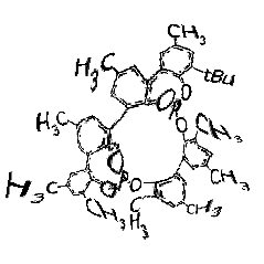 Cc1cc(C)c2c(c1)-c1cc(C)cc(C)c1Op1oc3c(cc(C)cc3c3cc(C)cc(C(C)(C)C)c3o1)Cc1cc(C)cc3c1op(oc1c(C)cc(C)cc13)O2